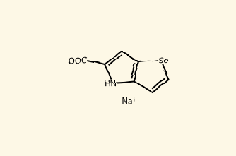 O=C([O-])c1cc2[se]ccc2[nH]1.[Na+]